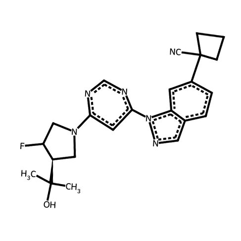 CC(C)(O)[C@@H]1CN(c2cc(-n3ncc4ccc(C5(C#N)CCC5)cc43)ncn2)CC1F